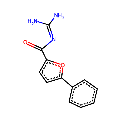 NC(N)=NC(=O)c1ccc(-c2ccccc2)o1